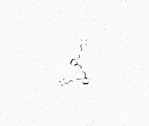 C[Si](C)(C)CCOCn1ccnc1CNCc1nccn1COCC[Si](C)(C)C